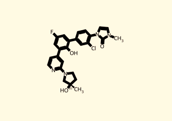 Cn1ccn(-c2ccc(-c3cc(F)cc(-c4ccnc(N5CC[C@](C)(O)C5)c4)c3O)cc2Cl)c1=O